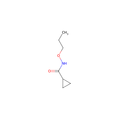 CCCONC(=O)C1CC1